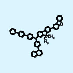 CC1(C)c2cc(-c3ccc4oc5ccccc5c4c3)ccc2-c2ccc(C(c3ccc(-c4ccc(-c5ccccc5)cc4)cc3)c3ccc(-c4cccc5ccccc45)cc3)cc21